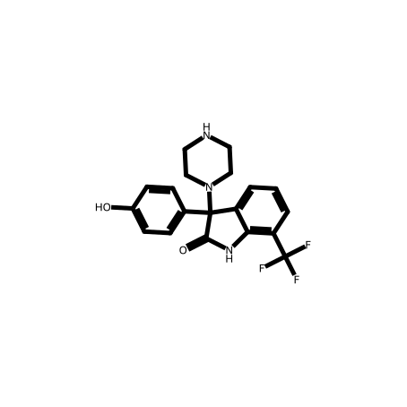 O=C1Nc2c(C(F)(F)F)cccc2C1(c1ccc(O)cc1)N1CCNCC1